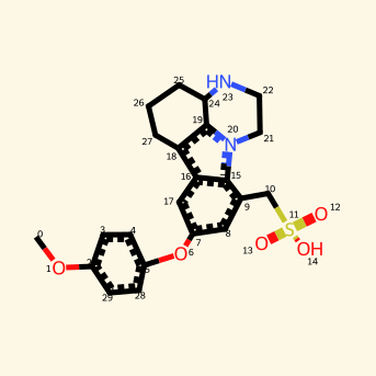 COc1ccc(Oc2cc(CS(=O)(=O)O)c3c(c2)c2c4n3CCNC4CCC2)cc1